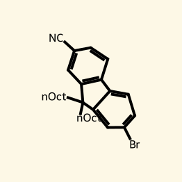 CCCCCCCCC1(CCCCCCCC)c2cc(Br)ccc2-c2ccc(C#N)cc21